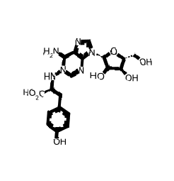 NC1c2ncn([C@@H]3O[C@H](CO)C(O)C3O)c2N=CN1N[C@@H](Cc1ccc(O)cc1)C(=O)O